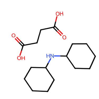 C1CCC(NC2CCCCC2)CC1.O=C(O)CCC(=O)O